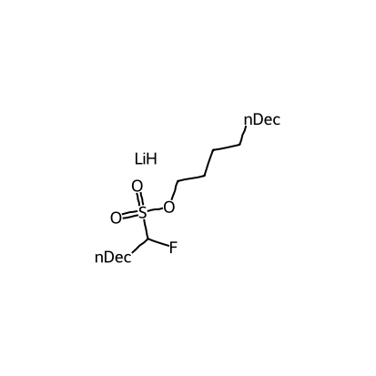 CCCCCCCCCCCCCCOS(=O)(=O)C(F)CCCCCCCCCC.[LiH]